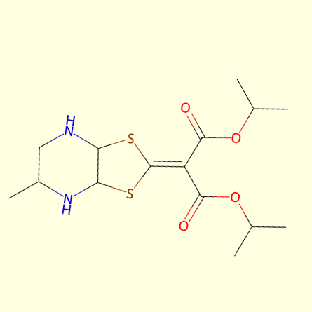 CC1CNC2SC(=C(C(=O)OC(C)C)C(=O)OC(C)C)SC2N1